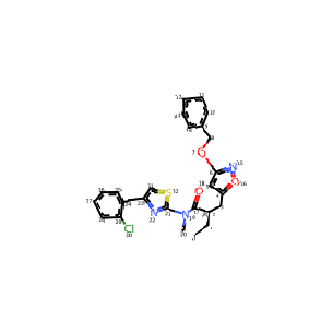 CC[C@H](Cc1cc(OCc2ccccc2)no1)C(=O)N(C)c1nc(-c2ccccc2Cl)cs1